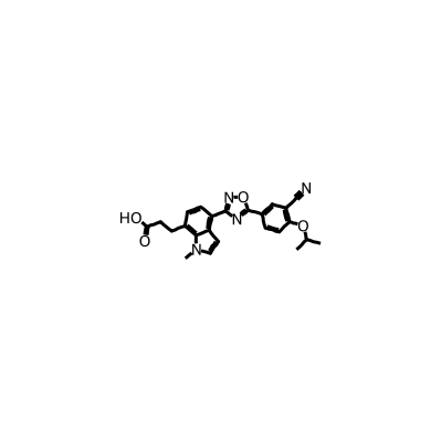 CC(C)Oc1ccc(-c2nc(-c3ccc(CCC(=O)O)c4c3ccn4C)no2)cc1C#N